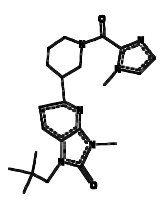 Cn1ccnc1C(=O)N1CCCC(c2ccc3c(n2)n(C)c(=O)n3CC(C)(C)C)C1